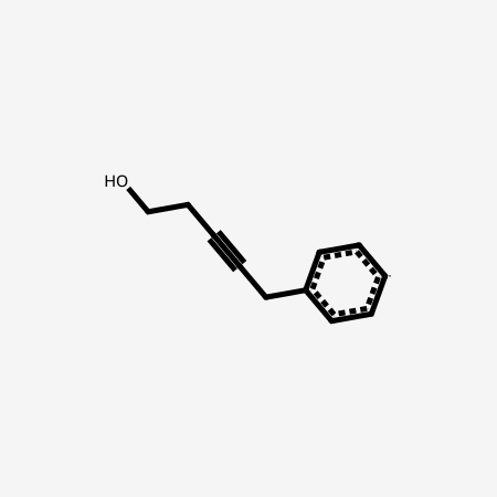 OCCC#CCc1cc[c]cc1